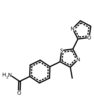 Cc1nc(-c2ncco2)sc1-c1ccc(C(N)=O)cc1